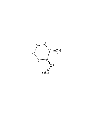 CCCCO[C@H]1CCCC[C@H]1O